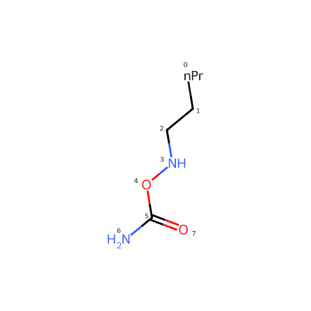 CCCCCNOC(N)=O